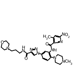 Cc1cc([N+](=O)[O-])ncc1C(=O)Nc1cc(-n2cc(C(=O)NCCCN3CCOCC3)nn2)ccc1N1CCN(C)CC1